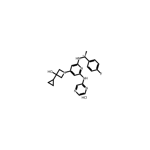 C[C@H](Nc1cc(N2CC(O)(C3CC3)C2)cc(Nc2cnccn2)n1)c1ccc(F)cc1.Cl